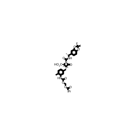 Cc1ccc(C[C@H]2C(=O)N(C(=O)N[C@H](C)c3ccc4c(c3)OC(F)(I)O4)[C@@H]2C(=O)O)cc1NC(=O)OCOC(=O)C(C)C